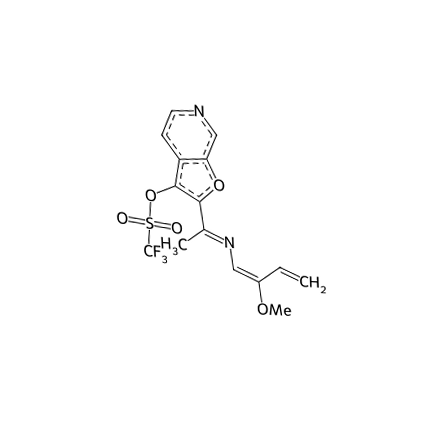 C=C/C(=C\N=C(/C)c1oc2cnccc2c1OS(=O)(=O)C(F)(F)F)OC